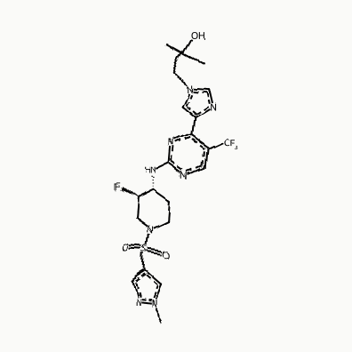 Cn1cc(S(=O)(=O)N2CC[C@@H](Nc3ncc(C(F)(F)F)c(-c4cn(CC(C)(C)O)cn4)n3)[C@H](F)C2)cn1